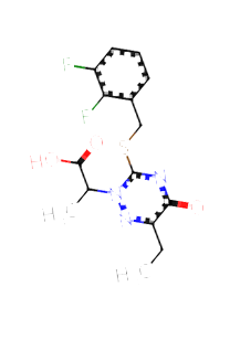 CCc1nn(C(C)C(=O)O)c(SCc2cccc(F)c2F)nc1=O